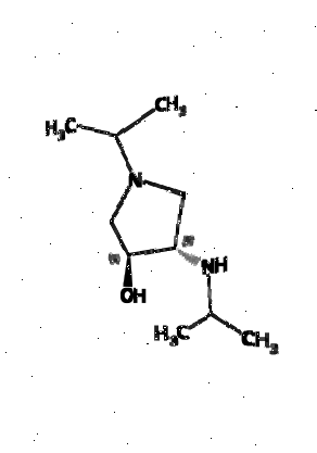 CC(C)N[C@H]1CN(C(C)C)C[C@@H]1O